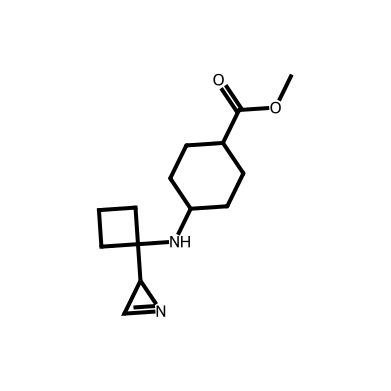 COC(=O)C1CCC(NC2(C3C=N3)CCC2)CC1